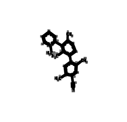 Cc1cc(-c2ccc(C)c(-c3cccc[n+]3C)c2C)c(C)cc1C#N